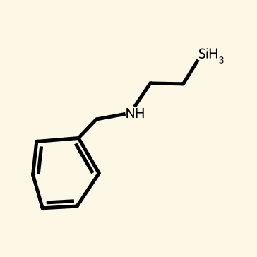 [SiH3]CCNCc1ccccc1